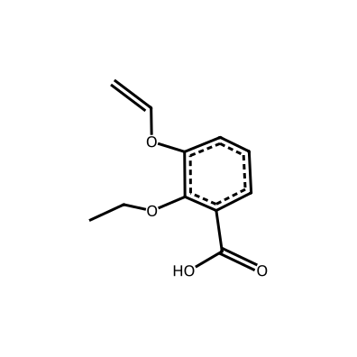 C=COc1cccc(C(=O)O)c1OCC